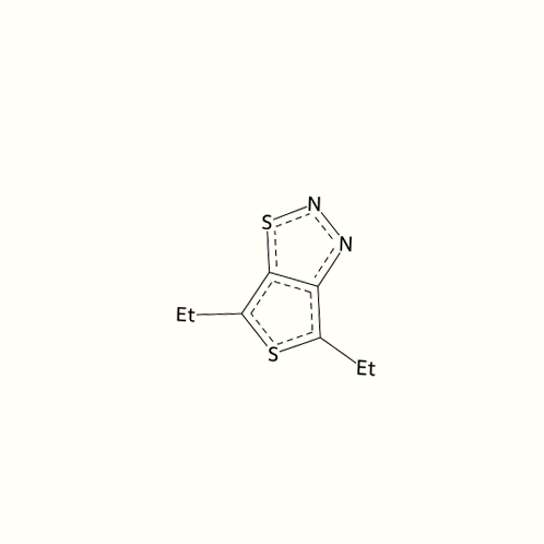 CCc1sc(CC)c2snnc12